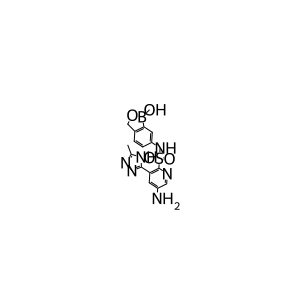 Cc1nnc(-c2cc(N)cnc2S(=O)(=O)Nc2ccc3c(c2)B(O)OC3)[nH]1